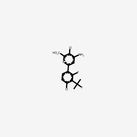 CC(C)(F)c1c(Cl)ccc(-c2cc(N)c(Cl)c(C(=O)O)n2)c1F